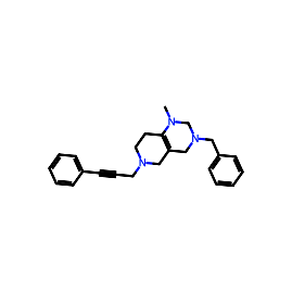 CN1CN(Cc2ccccc2)CC2=C1CCN(CC#Cc1ccccc1)C2